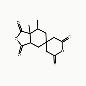 CC1CC2(CC(=O)OC(=O)C2)CC2C(=O)OC(=O)C12C